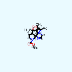 CC(=O)c1c(C)c(C(C)(O)C2CCN(C(=O)OC(C)(C)C)CC2)c2cnccn12